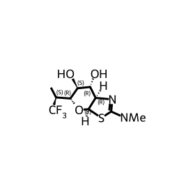 CNC1=N[C@@H]2[C@@H](O)[C@H](O)[C@@H]([C@H](C)C(F)(F)F)O[C@@H]2S1